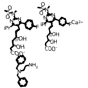 CC(C)c1nc(N(C)S(C)(=O)=O)nc(-c2ccc(F)cc2)c1C=C[C@@H](O)C[C@@H](O)CC(=O)[O-].CC(C)c1nc(N(C)S(C)(=O)=O)nc(-c2ccc(F)cc2)c1C=C[C@@H](O)C[C@@H](O)CC(=O)[O-].NCCN(Cc1ccccc1)Cc1ccccc1.[Ca+2]